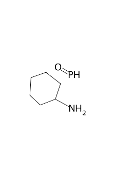 NC1CCCCC1.O=P